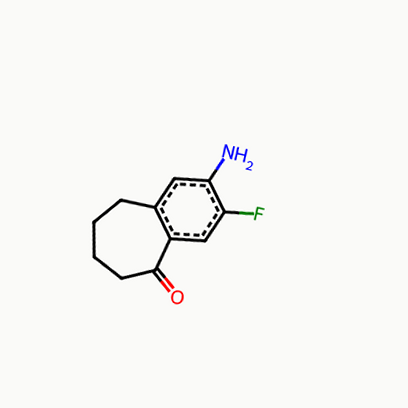 Nc1cc2c(cc1F)C(=O)CCCC2